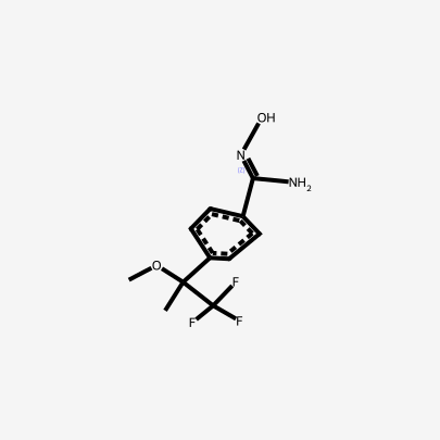 COC(C)(c1ccc(/C(N)=N/O)cc1)C(F)(F)F